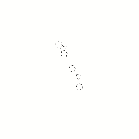 Cn1c2ccccc2c2ccc(OCc3ccc(-c4nnc(-c5ccc(C(C)(C)C)cc5)o4)cc3)cc21